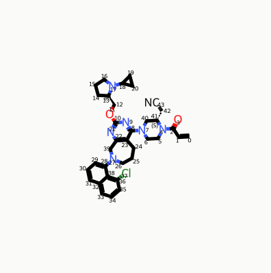 C=CC(=O)N1CCN(c2nc(OC[C@H]3CCCN3C3CC3)nc3c2CCCN(c2cccc4cccc(Cl)c24)C3)C[C@@H]1CC#N